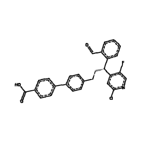 O=Cc1ccccc1[C@@H](CCc1ccc(-c2ccc(C(=O)O)cc2)cc1)c1cc(Cl)ncc1F